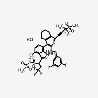 CC(C)(C#Cc1nc([C@@H](N)Cc2cc(F)cc(F)c2)c(-c2ccc(Cl)c3c(C(CC(F)(F)F)S(=O)(=O)NS(C)(=O)=O)n[nH]c23)c2c1CCCC2)S(C)(=O)=O.Cl